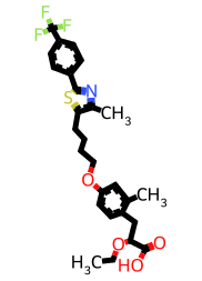 CCOC(Cc1ccc(OCCCCc2sc(-c3ccc(C(F)(F)F)cc3)nc2C)cc1C)C(=O)O